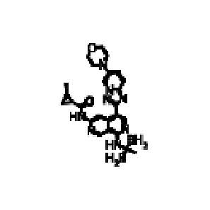 BC(B)(C)Nc1ncc(-c2nc3ccc(N4CCOCC4)cn3n2)c2cc(NC(=O)[C@H]3C[C@H]3C)ncc12